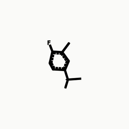 C[C](C)c1ccc(F)c(C)c1